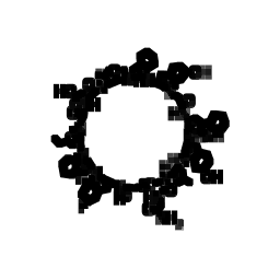 CCCC[C@H]1C(=O)N(C)CC(=O)N[C@@H](CC(=O)O)C(=O)N[C@@H](C(C)C)C(=O)N(C)[C@@H](Cc2ccccc2)C(=O)N[C@@H](Cc2ccc(O)cc2)C(=O)N(C)CC(=O)N[C@@H](Cc2c[nH]c3ccccc23)C(=O)N[C@@H](Cc2ccc(O)cc2)C(=O)N[C@@H](CC(C)C)C(=O)N[C@H](C(=O)NCC(N)=O)CSCC(=O)N[C@@H](Cc2cc(F)cc(F)c2)C(=O)N(C)[C@@H](Cc2ccccc2)C(=O)N1C